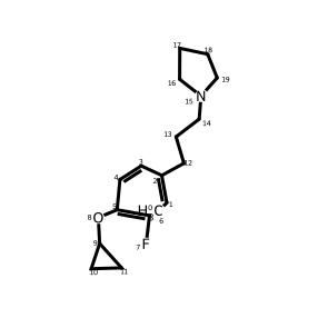 C\C=C(/C=C\C(=C\F)OC1CC1)CCCN1CCCC1